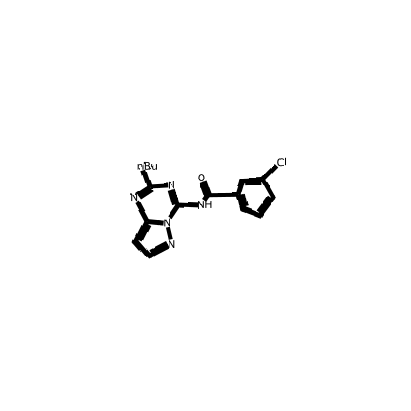 CCCCc1nc(NC(=O)c2cccc(Cl)c2)n2nccc2n1